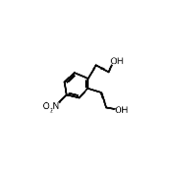 O=[N+]([O-])c1ccc(CCO)c(CCO)c1